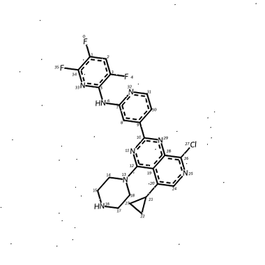 Fc1cc(F)c(Nc2cc(-c3nc(N4CCNCC4)c4c(C5CC5)cnc(Cl)c4n3)ccn2)nc1F